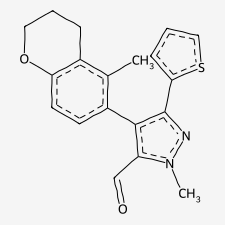 Cc1c(-c2c(-c3cccs3)nn(C)c2C=O)ccc2c1CCCO2